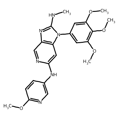 CNc1nc2cnc(Nc3ccc(OC)nc3)cc2n1-c1cc(OC)c(OC)c(OC)c1